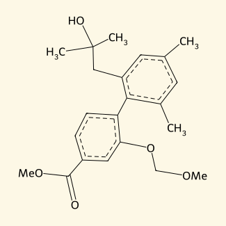 COCOc1cc(C(=O)OC)ccc1-c1c(C)cc(C)cc1CC(C)(C)O